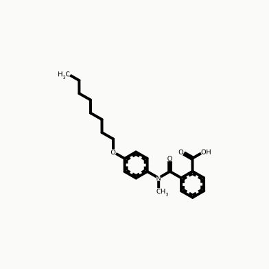 CCCCCCCCOc1ccc(N(C)C(=O)c2ccccc2C(=O)O)cc1